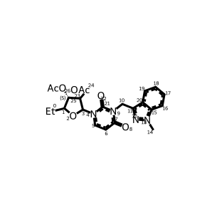 CCC1OC(n2ccc(=O)n(Cc3nn(C)c4ccccc34)c2=O)C(OC(C)=O)[C@H]1OC(C)=O